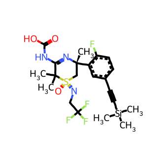 CC1(C)C(NC(=O)O)=N[C@](C)(c2cc(C#C[Si](C)(C)C)ccc2F)CS1(=O)=NCC(F)(F)F